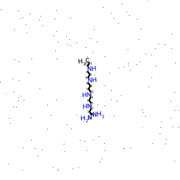 CCCNCCCNCCCCNCCCNCCC(N)N